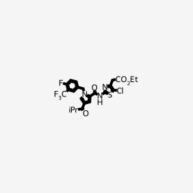 CCOC(=O)Cc1nc(NC(=O)c2cc(C(=O)C(C)C)cn2Cc2ccc(F)c(C(F)(F)F)c2)sc1Cl